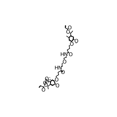 C=CC(=O)OC(C)c1cc(OC)c(OCCCC(=O)NCCOCCNC(=O)CCCOc2cc([N+](=O)[O-])c(C(C)OC(=O)C=C)cc2OC)cc1C